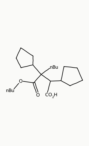 CCCCOC(=O)C(CCCC)(C1CCCC1)C(C(=O)O)C1CCCC1